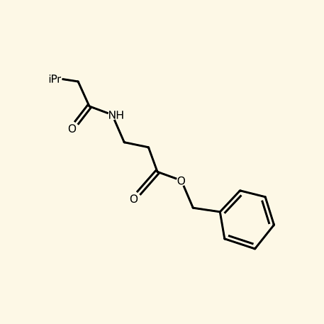 CC(C)CC(=O)NCCC(=O)OCc1ccccc1